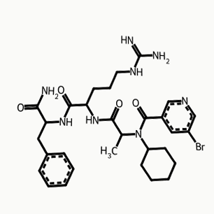 CC(C(=O)NC(CCCNC(=N)N)C(=O)NC(Cc1ccccc1)C(N)=O)N(C(=O)c1cncc(Br)c1)C1CCCCC1